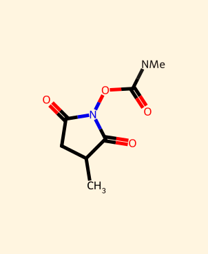 CNC(=O)ON1C(=O)CC(C)C1=O